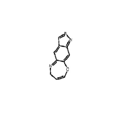 C1=COc2cc3c(cc2=NC1)C=NN=3